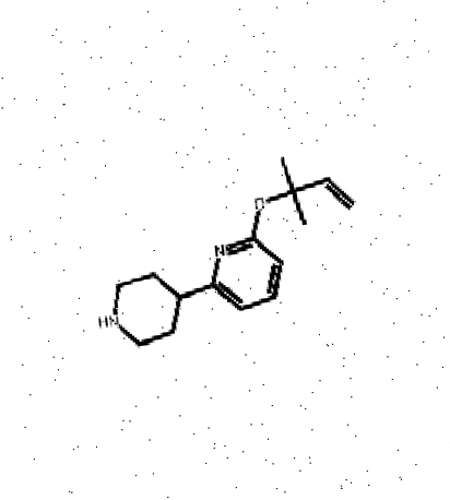 C=CC(C)(C)Oc1cccc(C2CCNCC2)n1